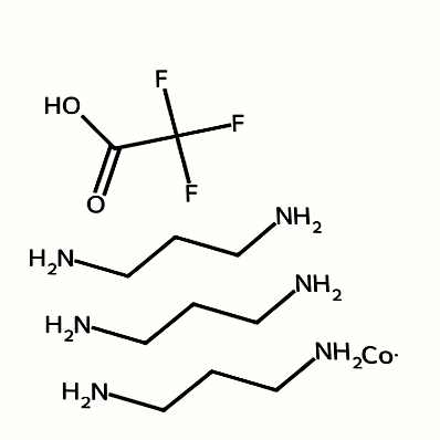 NCCCN.NCCCN.NCCCN.O=C(O)C(F)(F)F.[Co]